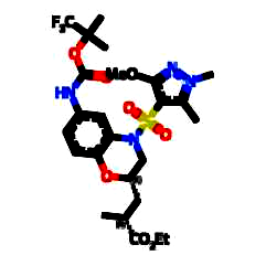 CCOC(=O)[C@H](C)C[C@H]1CN(S(=O)(=O)c2c(OC)nn(C)c2C)c2cc(NC(=O)OC(C)(C)C(F)(F)F)ccc2O1